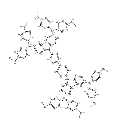 COc1ccc(N(c2ccc(OC)cc2)c2ccc3c(c2)c2cc(N(c4ccc(OC)cc4)c4ccc(OC)cc4)ccc2n3-c2ccc(-c3ccc(-n4c5ccc(N(c6ccc(OC)cc6)c6ccc(OC)cc6)cc5c5cc(N(c6ccc(OC)cc6)c6ccc(OC)cc6)ccc54)cc3)cc2)cc1